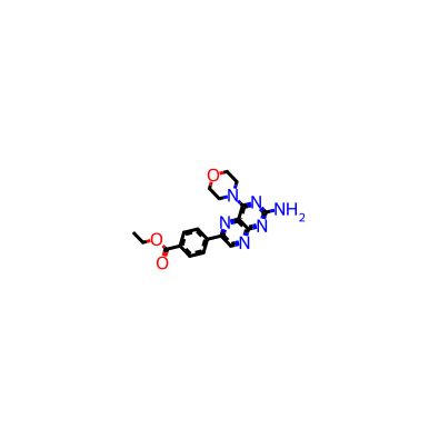 CCOC(=O)c1ccc(-c2cnc3nc(N)nc(N4CCOCC4)c3n2)cc1